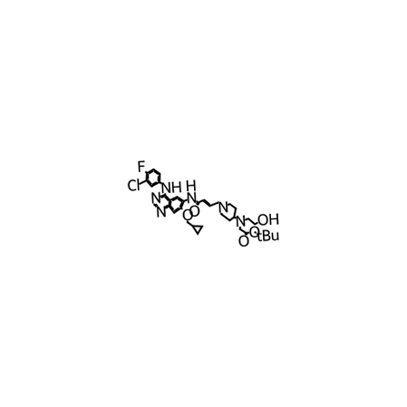 CC(C)(C)OC(=O)CN(CCO)C1CCN(CC=CC(=O)Nc2cc3c(Nc4ccc(F)c(Cl)c4)ncnc3cc2OCC2CC2)CC1